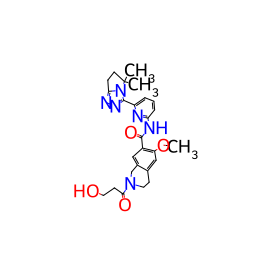 COc1cc2c(cc1C(=O)Nc1cccc(-c3nnc4n3C(C)(C)CC4)n1)CN(C(=O)CCO)CC2